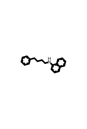 c1ccc(CCCCNc2cccc3ccccc23)cc1